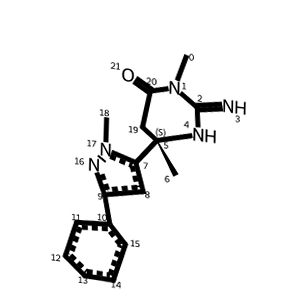 CN1C(=N)N[C@](C)(c2cc(-c3ccccc3)nn2C)CC1=O